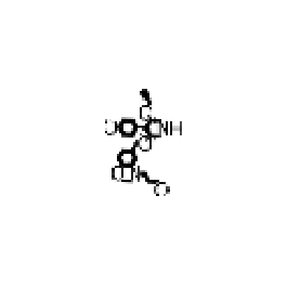 C#CCO[C@@H]1CNC[C@H](OCc2ccc3c(c2)N(CCCOC)CCO3)[C@H]1c1ccc(OC)cc1